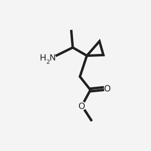 COC(=O)CC1(C(C)N)CC1